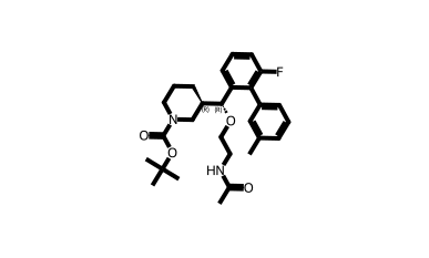 CC(=O)NCCO[C@@H](c1cccc(F)c1-c1cccc(C)c1)[C@@H]1CCCN(C(=O)OC(C)(C)C)C1